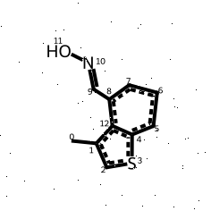 Cc1csc2cccc(C=NO)c12